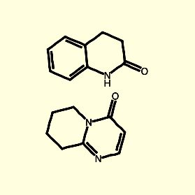 O=C1CCc2ccccc2N1.O=c1ccnc2n1CCCC2